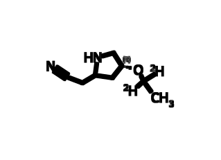 [2H]C([2H])(C)O[C@H]1CNC(CC#N)C1